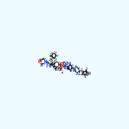 COC1(Cc2ccccc2C)CCN(c2ccc(C(=N)NS(=O)(=O)C3=CC=CC(N[C@H](CCN4CCOCC4)CSc4ccccc4)([N+](=O)[O-])C3)cc2)CC1